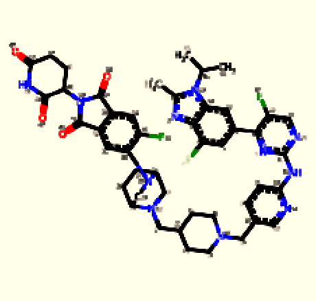 Cc1nc2c(F)cc(-c3nc(Nc4ccc(CN5CCC(CN6CC7CCC6CN7c6cc7c(cc6F)C(=O)N(C6CCC(=O)NC6=O)C7=O)CC5)cn4)ncc3F)cc2n1C(C)C